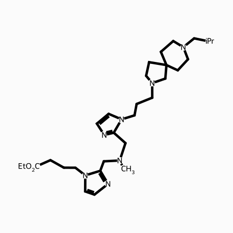 CCOC(=O)CCCn1ccnc1CN(C)Cc1nccn1CCCN1CCC2(CCN(CC(C)C)CC2)C1